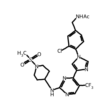 CC(=O)NCc1ccc(-n2cnc(-c3nc(NC4CCN(S(C)(=O)=O)CC4)ncc3C(F)(F)F)c2)c(Cl)c1